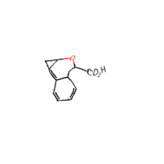 O=C(O)C1OC2CC2=C2C=CC=CC21